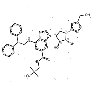 CC(C)(N)CNC(=O)c1nc(NCC(c2ccccc2)c2ccccc2)c2ncn([C@@H]3C[C@H](n4cc(CO)cn4)[C@@H](O)[C@H]3O)c2n1